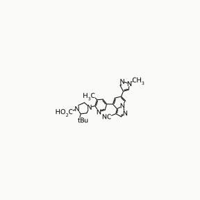 Cc1cc(-c2cc(-c3cnn(C)c3)cn3ncc(C#N)c23)cnc1N1CCN(C(=O)O)C(C(C)(C)C)C1